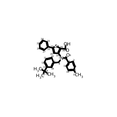 Cc1ccc(C(=O)N(Cc2cccc(C(C)(C)C)c2)c2cc(-c3ccccc3)sc2C(=O)O)cc1